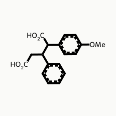 COc1ccc(C(C(=O)O)C(CC(=O)O)c2ccccc2)cc1